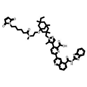 CCC1(C)CC2(C)CC(C)(Cn3ncc(-c4ccc(-c5cnc6cccc(C(=O)Nc7nc8ccccc8s7)c6c5)nc4C(=O)O)c3C)CC(OCCN(C)C(=O)CCCCCN3C(=O)C=CC3=O)(C1)C2